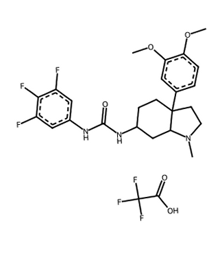 COc1ccc(C23CCC(NC(=O)Nc4cc(F)c(F)c(F)c4)CC2N(C)CC3)cc1OC.O=C(O)C(F)(F)F